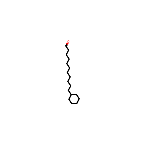 O=[C]CCCCCCCCCCC1CCCCC1